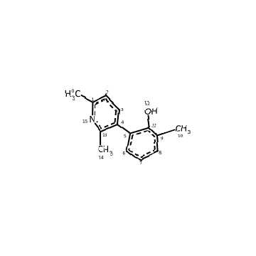 Cc1ccc(-c2cccc(C)c2O)c(C)n1